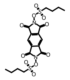 CCCCS(=O)(=O)On1c(=O)c2cc3c(=O)n(OS(=O)(=O)CCCC)c(=O)c3cc2c1=O